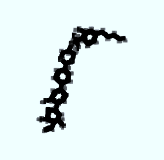 C=Cc1c(F)cc(-c2ccc(-c3ccc(C4OCC(OC(F)(F)c5ccc(CCCCC)cc5F)CO4)cc3)cc2F)cc1F